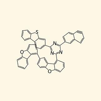 c1ccc2cc(-c3nc(-c4ccc5c(c4)sc4ccccc45)nc(-c4cccc5oc6ccc(-c7cccc8oc9ccccc9c78)cc6c45)n3)ccc2c#1